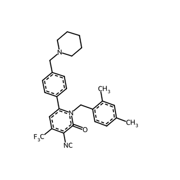 [C-]#[N+]c1c(C(F)(F)F)cc(-c2ccc(CN3CCCCC3)cc2)n(Cc2ccc(C)cc2C)c1=O